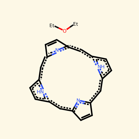 C1=Cc2cc3ccc(cc4nc(cc5ccc(cc1n2)[nH]5)C=C4)[nH]3.CCOCC